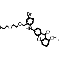 Cc1ccccc1C(=O)c1ccc(Nc2ccc(Br)cc2COCCOCCI)cc1Cl